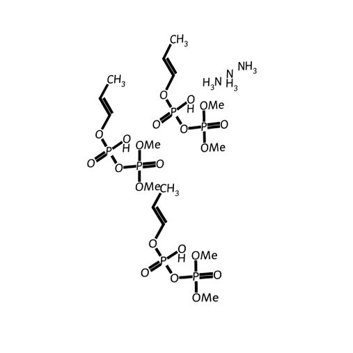 CC=COP(=O)(O)OP(=O)(OC)OC.CC=COP(=O)(O)OP(=O)(OC)OC.CC=COP(=O)(O)OP(=O)(OC)OC.N.N.N